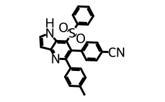 Cc1ccc(-c2nc3cc[nH]c3c(S(=O)(=O)c3ccccc3)c2-c2ccc(C#N)cc2)cc1